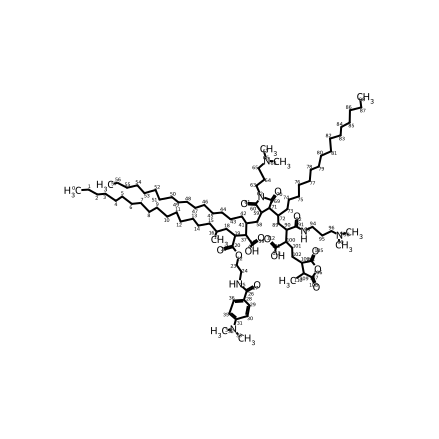 CCCCCCCCCCCCCCCCC(C)CC(C(=O)OCCNC(=O)c1ccc(N(C)C)cc1)C(C(=O)O)C(CCCCCCCCCCCCCCCC)CC1C(=O)N(CCCN(C)C)C(=O)C1C(CCCCCCCCCCCCCCCC)CC(C(=O)NCCCN(C)C)C(CCC1C(=O)OC(=O)C1C)C(=O)O